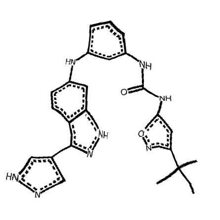 CC(C)(C)c1cc(NC(=O)Nc2cccc(Nc3ccc4c(-c5cn[nH]c5)n[nH]c4c3)c2)on1